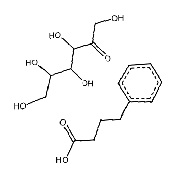 O=C(CO)C(O)C(O)C(O)CO.O=C(O)CCCc1ccccc1